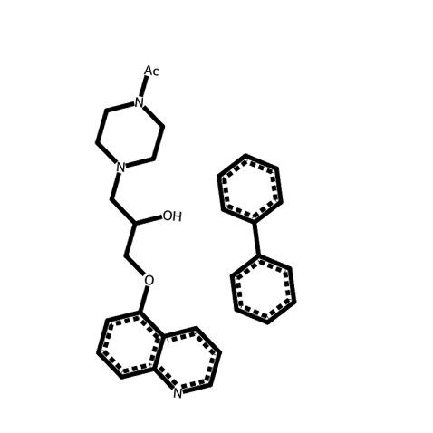 CC(=O)N1CCN(CC(O)COc2cccc3ncccc23)CC1.c1ccc(-c2ccccc2)cc1